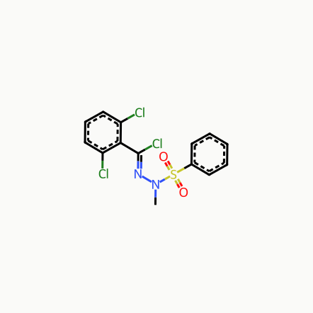 CN(N=C(Cl)c1c(Cl)cccc1Cl)S(=O)(=O)c1ccccc1